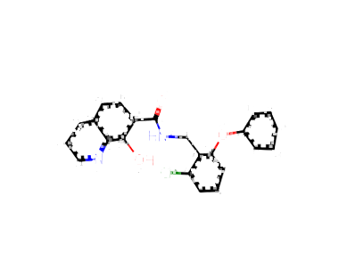 O=C(NCc1c(Cl)cccc1Oc1ccccc1)c1ccc2cccnc2c1O